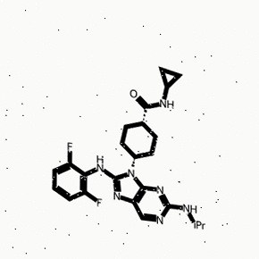 CC(C)Nc1ncc2nc(Nc3c(F)cccc3F)n([C@H]3CC[C@@H](C(=O)NC4CC4)CC3)c2n1